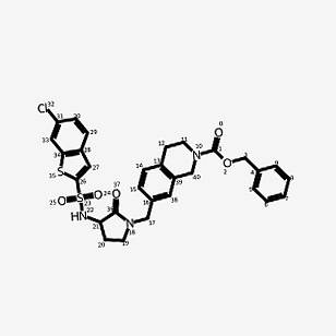 O=C(OCc1ccccc1)N1CCc2ccc(CN3CCC(NS(=O)(=O)c4cc5ccc(Cl)cc5s4)C3=O)cc2C1